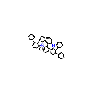 CC12C=CC=C(c3ccccc3)C1c1ccccc1N2c1ccccc1-c1ccccc1-n1c2ccccc2c2c(-c3ccccc3)cccc21